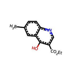 Bc1ccc2ncc(C(=O)OCC)c(O)c2c1